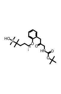 C[C@H](CCC(C)(C)[Si](C)(C)O)Oc1ccccc1CC(=O)CNC(=O)OC(C)(C)C